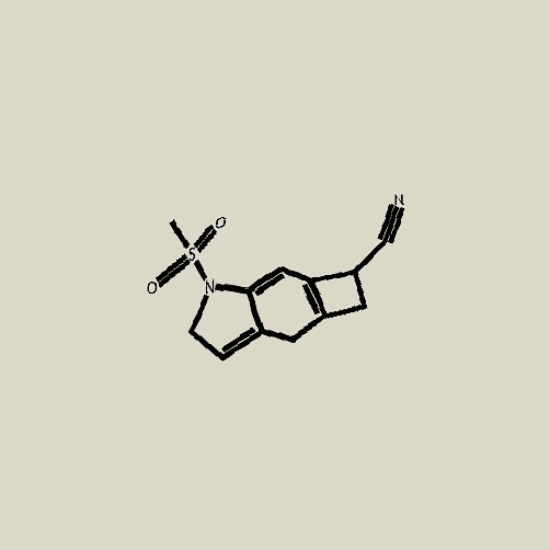 CS(=O)(=O)N1CC=C2CC3=C(C=C21)C(C#N)C3